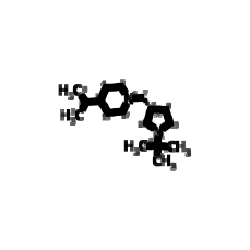 CC(C)C1CCN(C[C@@H]2CCN(C(C)(C)C)C2)CC1